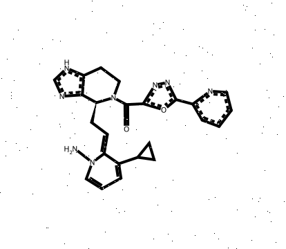 NN1C=CC=C(C2CC2)/C1=C/C[C@H]1c2nc[nH]c2CCN1C(=O)c1nnc(-c2ccccn2)o1